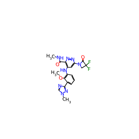 CNC(=O)c1nnc(N2CC(F)(F)C2=O)cc1Nc1cccc(-c2ncn(C)n2)c1OC